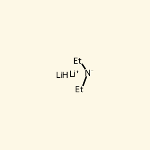 CC[N-]CC.[Li+].[LiH]